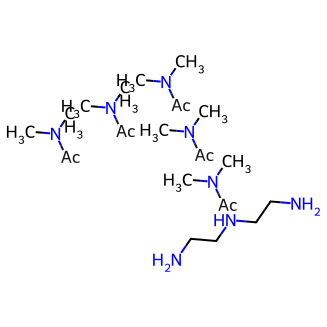 CC(=O)N(C)C.CC(=O)N(C)C.CC(=O)N(C)C.CC(=O)N(C)C.CC(=O)N(C)C.NCCNCCN